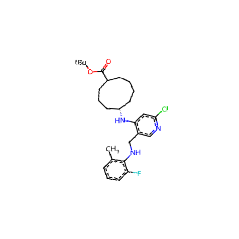 Cc1cccc(F)c1NCc1cnc(Cl)cc1N[C@H]1CCCCC(C(=O)OC(C)(C)C)CCC1